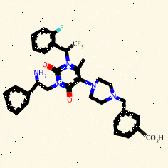 Cc1c(N2CCN(Cc3cccc(C(=O)O)c3)CC2)c(=O)n(CC(N)c2ccccc2)c(=O)n1C(c1ccccc1F)C(F)(F)F